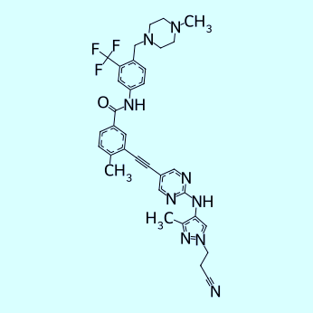 Cc1ccc(C(=O)Nc2ccc(CN3CCN(C)CC3)c(C(F)(F)F)c2)cc1C#Cc1cnc(Nc2cn(CCC#N)nc2C)nc1